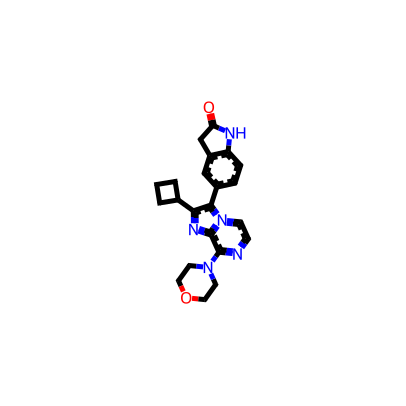 O=C1Cc2cc(-c3c(C4CCC4)nc4c(N5CCOCC5)nccn34)ccc2N1